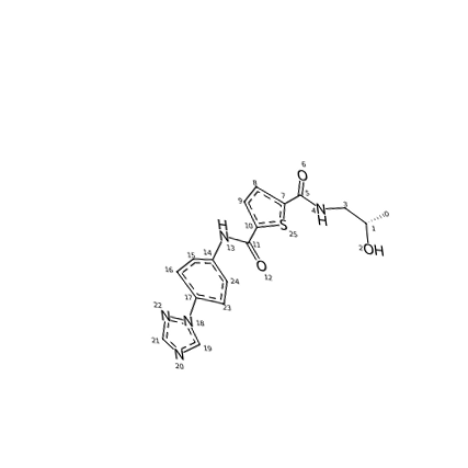 C[C@H](O)CNC(=O)c1ccc(C(=O)Nc2ccc(-n3cncn3)cc2)s1